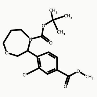 COC(=O)c1ccc(C2COCCCN2C(=O)OC(C)(C)C)c(Cl)c1